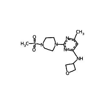 Cc1cc(NC2COC2)nc(N2CCN(S(C)(=O)=O)CC2)n1